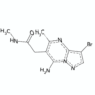 CNC(=O)Cc1c(C)nc2c(Br)cnn2c1N